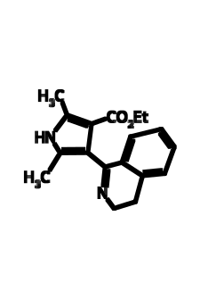 CCOC(=O)c1c(C)[nH]c(C)c1C1=NCCc2ccccc21